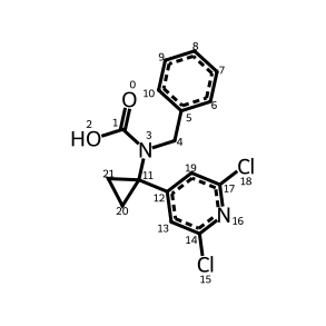 O=C(O)N(Cc1ccccc1)C1(c2cc(Cl)nc(Cl)c2)CC1